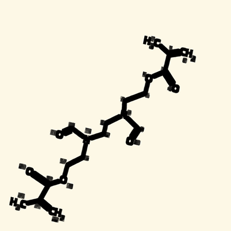 C=C(C)C(=O)OCCN(C=O)CCN(C=O)CCOC(=O)C(=C)C